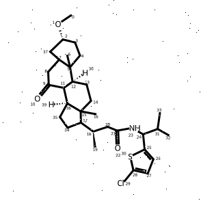 CO[C@@H]1CCC2(C)C(CC(=O)C3[C@@H]2CCC2(C)C([C@H](C)CC(=O)NC(c4ccc(Cl)s4)C(C)C)CC[C@@H]32)C1